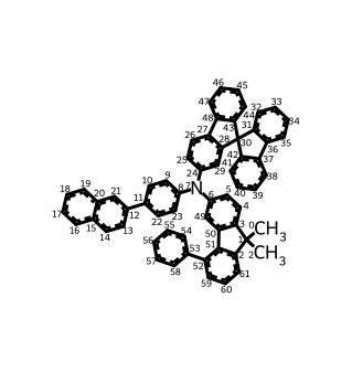 CC1(C)c2ccc(N(c3ccc(-c4ccc5ccccc5c4)cc3)c3ccc4c(c3)C3(c5ccccc5-c5ccccc53)c3ccccc3-4)cc2-c2c(-c3ccccc3)cccc21